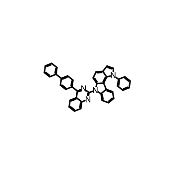 c1ccc(-c2ccc(-c3nc(-n4c5ccccc5c5c6c(ccc54)ccn6-c4ccccc4)nc4ccccc34)cc2)cc1